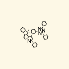 CC1(C)c2ccccc2-c2ccc3nc(-c4ccccc4)cc(-c4cccc(-c5nc(-c6ccccc6)nc(-c6ccccc6)n5)c4)c3c21